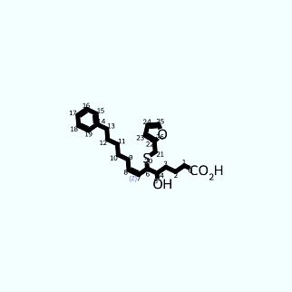 O=C(O)CCCC(O)C(/C=C\CCCCCc1ccccc1)SCc1ccco1